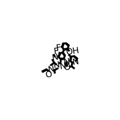 C=CC(=O)N1CC2CN(C)c3c(F)c(-c4c(O)cccc4F)cc4c3c(nc(=O)n4-c3c(C)ccnc3C(C)C)N2CC1C